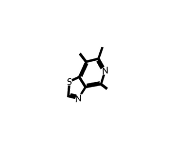 Cc1nc(C)c2ncsc2c1C